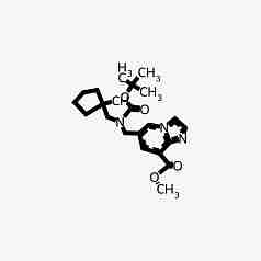 COC(=O)c1cc(CN(CC2(C)CCCC2)C(=O)OC(C)(C)C)cn2ccnc12